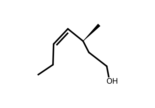 CC/C=C\[C@@H](C)CCO